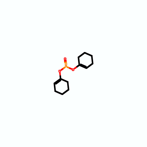 O=[PH](OC1=CCCCC1)OC1=CCCCC1